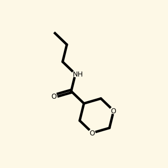 CCCNC(=O)C1COCOC1